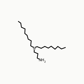 CCCCCCCCCN(CCCN)CCCCCCCCC